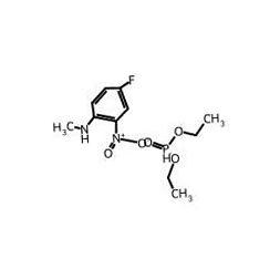 CCO[PH](=O)OCC.CNc1ccc(F)cc1[N+](=O)[O-]